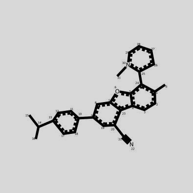 Cc1ccc2c(oc3cc(-c4ccc(C(C)C)cc4)cc(C#N)c32)c1-c1cccc[n+]1C